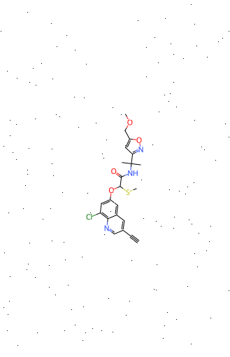 C#Cc1cnc2c(Cl)cc(OC(SC)C(=O)NC(C)(C)c3cc(COC)on3)cc2c1